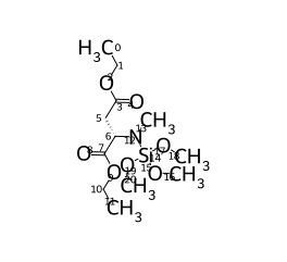 CCOC(=O)C[C@@H](C(=O)OCC)N(C)[Si](OC)(OC)OC